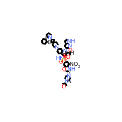 CCc1ccccc1[C@@H]1CCCN1C1CC2(CCN(c3ccc(C(=O)NS(=O)(=O)c4cc5c(c([N+](=O)[O-])c4)N[C@H](CN4CCN(C6COC6)[C@H](C)C4)CO5)c(N4c5cc6cc[nH]c6nc5O[C@H]5COC[C@H]54)c3)CC2)C1